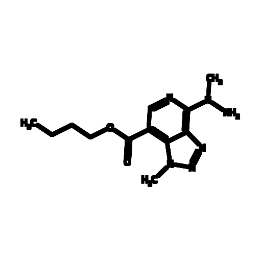 CCCCOC(=O)c1cnc(N(C)N)c2nnn(C)c12